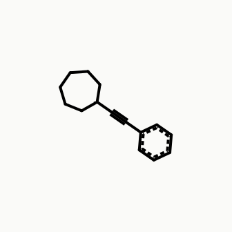 C(#Cc1ccccc1)[C]1CCCCCC1